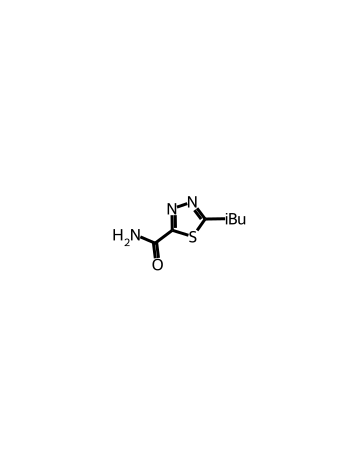 CCC(C)c1nnc(C(N)=O)s1